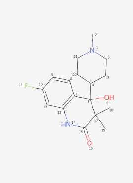 CN1CCC(C2(O)c3ccc(F)cc3NC(=O)C2(C)C)CC1